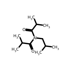 CC(C)[CH2][Al]([C](=O)C(C)C)[C](=O)C(C)C